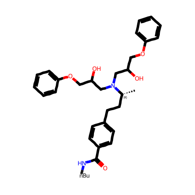 CCCCNC(=O)c1ccc(CC[C@@H](C)N(CC(O)COc2ccccc2)CC(O)COc2ccccc2)cc1